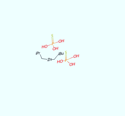 CCC(C)[CH2][Zn][CH2]C(C)C.OP(O)(O)=S.OP(O)(O)=S